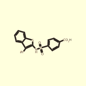 CC(C)c1c(NS(=O)(=O)c2ccc(C(=O)O)cc2)sc2ccccc12